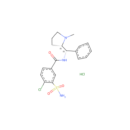 CN1CCC[C@H]1[C@@H](NC(=O)c1ccc(Cl)c(S(N)(=O)=O)c1)c1ccccc1.Cl